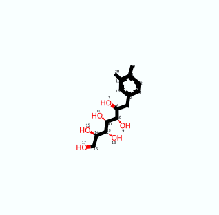 Cc1ccc(CC(O)[C@H](O)[C@@H](O)[C@H](O)[C@H](O)CO)cc1C